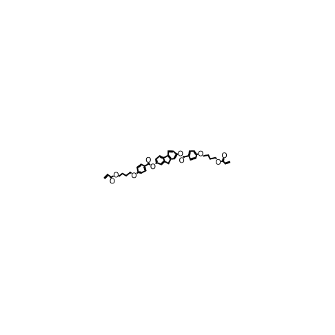 C=CC(=O)OCCCCOc1ccc(C(=O)Oc2ccc3c(c2)Cc2cc(OC(=O)c4ccc(OCCCCOC(=O)C=C)cc4)ccc2-3)cc1